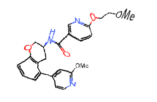 COCCOc1ccc(C(=O)N[C@@H]2COc3cccc(-c4ccnc(OC)c4)c3C2)cn1